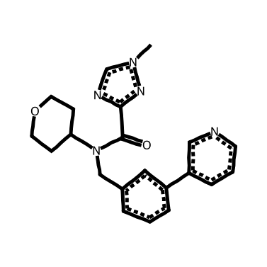 Cn1cnc(C(=O)N(Cc2cccc(-c3cccnc3)c2)C2CCOCC2)n1